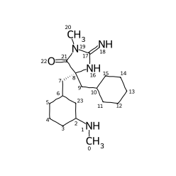 CNC1CCCC(C[C@@]2(CC3CCCCC3)NC(=N)N(C)C2=O)C1